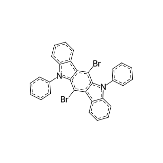 Brc1c2c3ccccc3n(-c3ccccc3)c2c(Br)c2c3ccccc3n(-c3ccccc3)c12